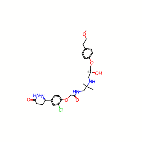 COCCc1ccc(OC[C@@H](O)CNC(C)(C)CNC(=O)COc2ccc(C3=NNC(=O)CC3)cc2Cl)cc1